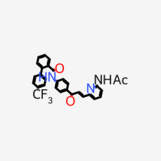 CC(=O)Nc1cccc(C=CC(=O)c2ccc(NC(=O)c3ccccc3-c3ccc(C(F)(F)F)cc3)cc2)n1